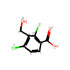 O=C(O)c1ccc(Cl)c(CO)c1Cl